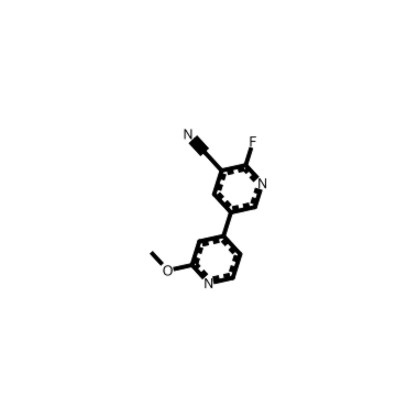 COc1cc(-c2cnc(F)c(C#N)c2)ccn1